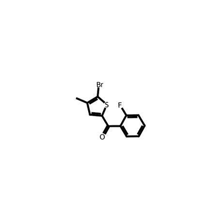 Cc1cc(C(=O)c2ccccc2F)sc1Br